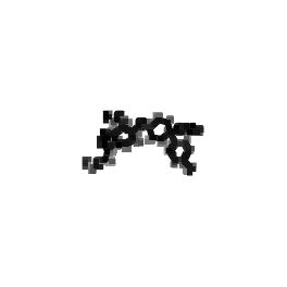 COC1(c2ccc(F)cc2)CCC(Oc2ccn3c(CC(F)(F)F)nnc3c2C(F)(F)F)CC1